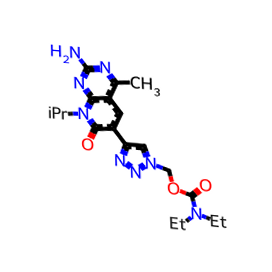 CCN(CC)C(=O)OCn1cc(-c2cc3c(C)nc(N)nc3n(C(C)C)c2=O)nn1